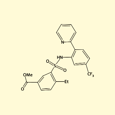 CCc1ccc(C(=O)OC)cc1S(=O)(=O)Nc1cc(C(F)(F)F)ccc1-c1ccccn1